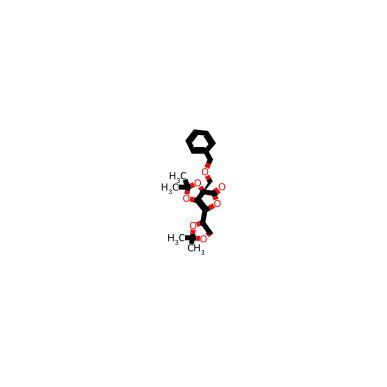 CC1(C)OCC(C2=C3OC(C)(C)O[C@]3(COCc3ccccc3)C(=O)O2)O1